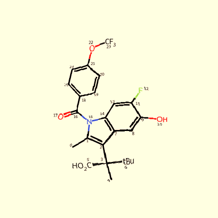 Cc1c([C@](C)(C(=O)O)C(C)(C)C)c2cc(O)c(F)cc2n1C(=O)c1ccc(OC(F)(F)F)cc1